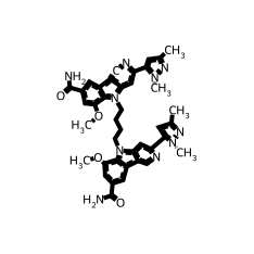 COc1cc(C(N)=O)cc2c3cnc(-c4cc(C)nn4C)cc3n(CCCCn3c4cc(-c5cc(C)nn5C)ncc4c4cc(C(N)=O)cc(OC)c43)c12